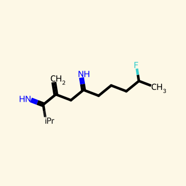 C=C(CC(=N)CCCC(C)F)C(=N)C(C)C